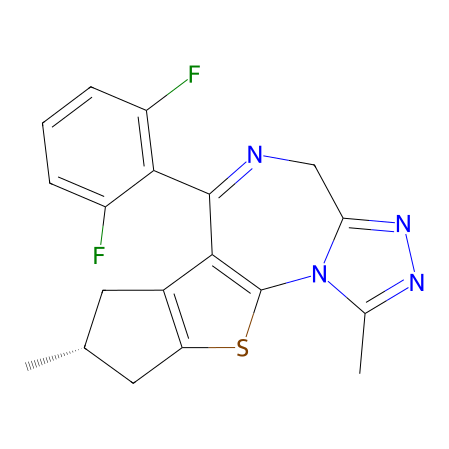 Cc1nnc2n1-c1sc3c(c1C(c1c(F)cccc1F)=NC2)C[C@@H](C)C3